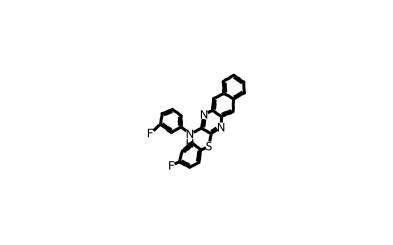 Fc1ccc(Sc2nc3cc4ccccc4cc3nc2Nc2cccc(F)c2)cc1